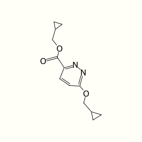 O=C(OCC1CC1)c1ccc(OCC2CC2)nn1